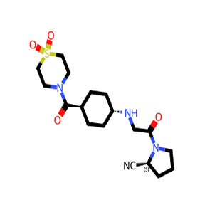 N#C[C@@H]1CCCN1C(=O)CN[C@H]1CC[C@H](C(=O)N2CCS(=O)(=O)CC2)CC1